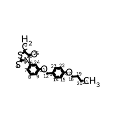 C=C1SC(=S)N(c2cccc(OCc3ccc(OCCCC)cc3)c2)C1=O